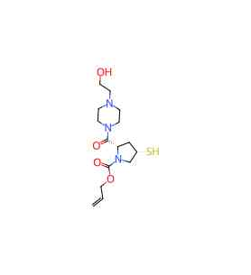 C=CCOC(=O)N1C[C@@H](S)C[C@H]1C(=O)N1CCN(CCO)CC1